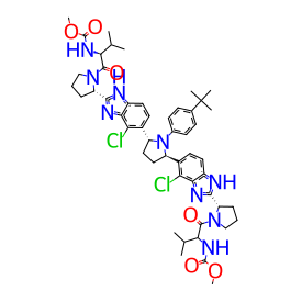 COC(=O)NC(C(=O)N1CCC[C@H]1c1nc2c(Cl)c([C@H]3CC[C@H](c4ccc5[nH]c([C@@H]6CCCN6C(=O)[C@@H](NC(=O)OC)C(C)C)nc5c4Cl)N3c3ccc(C(C)(C)C)cc3)ccc2[nH]1)C(C)C